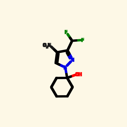 O=[N+]([O-])c1cn(C2(O)CCCCC2)nc1C(F)F